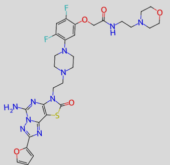 Nc1nc2c(sc(=O)n2CCN2CCN(c3cc(OCC(=O)NCCN4CCOCC4)c(F)cc3F)CC2)c2nc(-c3ccco3)nn12